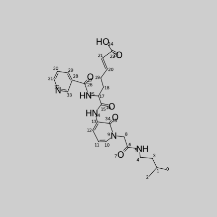 CC(C)CCNC(=O)Cn1cccc(NC(=O)C(CCC=CC(=O)O)NC(=O)c2cccnc2)c1=O